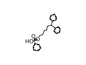 O=P(O)(OCCCCCC(c1ccccc1)c1ccccc1)c1ccccc1